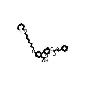 O=C(OCc1ccccc1)Oc1ccc(-c2cc(OCCCCCCCCOC3CCCCO3)ccc2C(=O)O)cc1